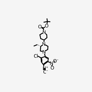 [C-]#[N+]c1cc(Cl)c(N2CCN(C3CCN(C(=O)OC(C)(C)C)CC3)[C@@H](CC)C2)cc1[N+](=O)[O-]